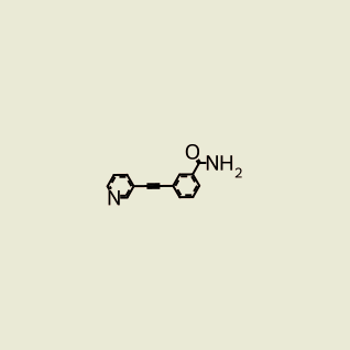 NC(=O)c1cccc(C#Cc2cccnc2)c1